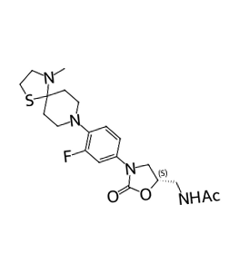 CC(=O)NC[C@H]1CN(c2ccc(N3CCC4(CC3)SCCN4C)c(F)c2)C(=O)O1